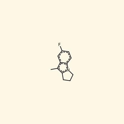 Cc1c2n(c3ccc(F)cc13)CCC2